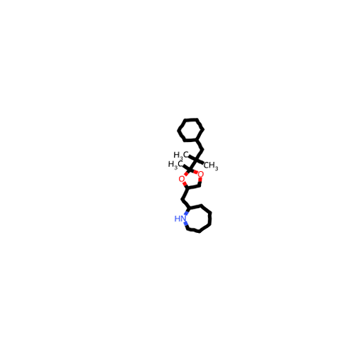 CC(C)(CC1CCCCC1)C1(C)OCC(CC2CCCCCN2)O1